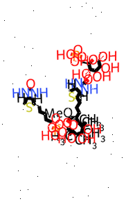 COC(=O)C(CCCC1SC[C@@H]2NC(=O)N[C@H]12)[C@@]1(C)OC(C)(COP(=O)(O)OC(=O)CCCC[C@@H]2SC[C@@H]3NC(=O)N[C@@H]32)[C@@](C)(O)C(C)(O)C1(C)O.O=P(O)(O)OC[C@H]1O[C@H](O)[C@@H](O)[C@@H](O)[C@@H]1O